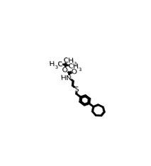 CC(C)(C)OC(=O)NCCSCc1ccc(C2CCCCCC2)cc1